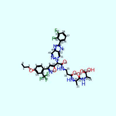 CCCOc1ccc(-c2cc(C(C(=O)NCCC(=O)NC(C)C(=O)NC(C)C(=O)O)n3cc4nc(-c5cccc(F)c5F)nc-4cn3)on2)c(C(F)(F)F)c1